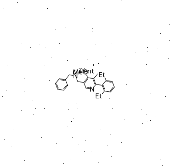 CCCC(C)N(Cc1ccccc1)Cc1cnc(-c2c(CC)cccc2CC)c(C)c1OC